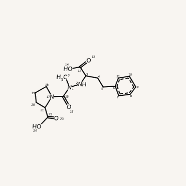 CN(NC(CCc1ccccc1)C(=O)O)C(=O)N1CCCC1C(=O)O